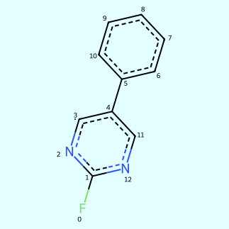 Fc1n[c]c(-c2ccccc2)cn1